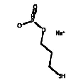 O=[PH]([O-])OCCCS.[Na+]